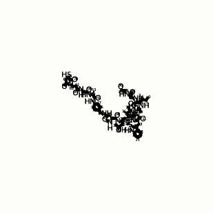 CC[C@H](C)[C@H](NC(=O)CNC(=O)[C@@H](Cc1c(SC)[nH]c2ccccc12)NC(=O)[C@@H](NC[C@@H]1C[C@@H](O)CN1C(=O)[C@H](CC(=O)NCc1ccc(NC(=O)[C@H](C)NC(=O)CNC(=O)CCN2C(=O)CC(S)C2=O)cc1)NC)[C@@H](C)[C@@H](O)CO)C(=O)NCC(=O)NCC=O